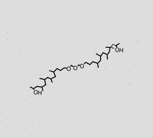 CC(O)CC(C)CC(C)CC(C)CC(C)CCCOCOCOCCCC(C)CC(C)CC(C)CC(C)CC(C)O